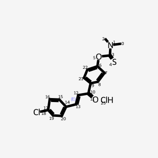 CN(C)C(=S)Oc1ccc(C(=O)/C=C/c2ccc(Cl)cc2)cc1.Cl